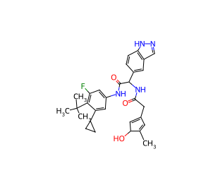 CC1=CC(CC(=O)NC(C(=O)Nc2cc(F)c(C(C)(C)C)c(C3CC3)c2)c2ccc3[nH]ncc3c2)=CC1O